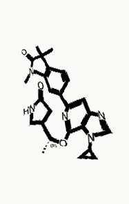 C[C@@H](Oc1nc(-c2ccc3c(c2)N(C)C(=O)C3(C)C)cc2ncn(C3CC3)c12)C1CNC(=O)C1